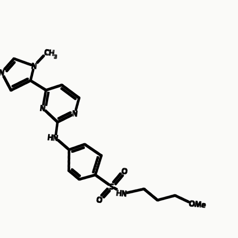 COCCCNS(=O)(=O)c1ccc(Nc2nccc(-c3cncn3C)n2)cc1